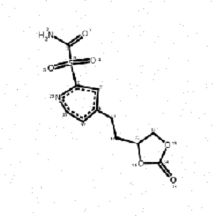 NC(=O)S(=O)(=O)c1cc([CH]C[C@H]2COC(=O)O2)ccn1